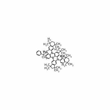 Cc1cc2c(cc1N1c3cc(C(C)(C)c4ccccc4)ccc3B3c4cc5c(cc4N(c4ccc6c(c4C)C(C)(C)CCC6(C)C)c4cc(C(C)(C)C)cc1c43)C(C)(C)CC5(C)C)C(C)(C)CCC2(C)C